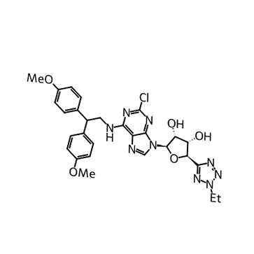 CCn1nnc([C@H]2O[C@@H](n3cnc4c(NCC(c5ccc(OC)cc5)c5ccc(OC)cc5)nc(Cl)nc43)[C@H](O)[C@@H]2O)n1